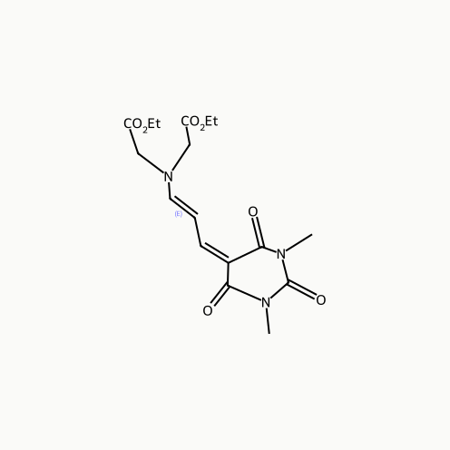 CCOC(=O)CN(/C=C/C=C1C(=O)N(C)C(=O)N(C)C1=O)CC(=O)OCC